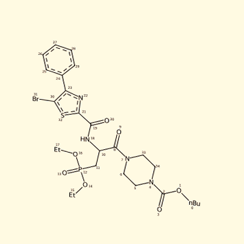 CCCCOC(=O)N1CCN(C(=O)C(CP(=O)(OCC)OCC)NC(=O)c2nc(-c3ccccc3)c(Br)s2)CC1